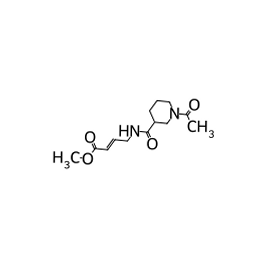 COC(=O)/C=C/CNC(=O)C1CCCN(C(C)=O)C1